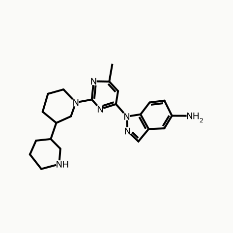 Cc1cc(-n2ncc3cc(N)ccc32)nc(N2CCCC(C3CCCNC3)C2)n1